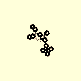 CC1(C)c2cc(-c3ccc(C4(c5ccccc5)c5ccccc5-c5ccccc54)cc3)ccc2N(c2ccccc2)c2ccc(N(c3ccc4ccccc4c3)c3ccc4ccccc4c3)cc21